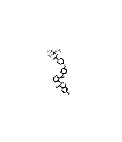 CC(C)(C)OC(=O)N1CCC(Oc2ccc(Nc3ncccc3NC(=O)c3ncc(F)cc3F)cc2)CC1